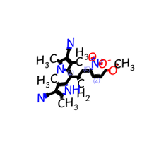 C=C(/C=C(\C=C/COC)[N+](=O)[O-])/C(=C1/N=C(C)C(C#N)=C1C)c1[nH]c(C)c(C#N)c1C